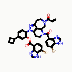 C=CC(=O)N1CCc2nn(-c3ccc(C4CCC4)cc3OC(=O)c3ccc(Br)c4[nH]cnc34)c3c2C(C1)N(C(=O)c1ccc(Br)c2[nH]cnc12)CC3